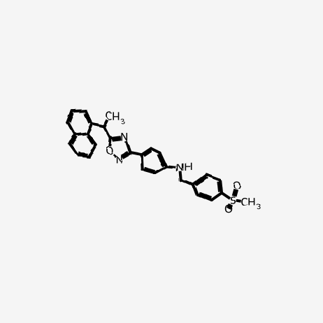 CC(c1nc(-c2ccc(NCc3ccc(S(C)(=O)=O)cc3)cc2)no1)c1cccc2ccccc12